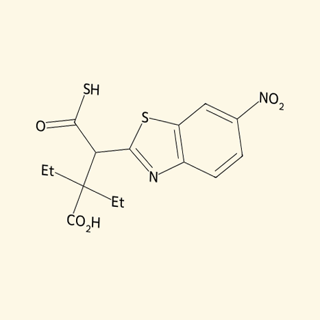 CCC(CC)(C(=O)O)C(C(=O)S)c1nc2ccc([N+](=O)[O-])cc2s1